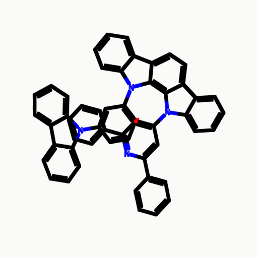 c1ccc(-c2cc(-n3c4ccccc4c4ccc5c6ccccc6n(-c6cccc(-n7c8ccccc8c8ccccc87)c6)c5c43)cc(-c3ccccc3)n2)cc1